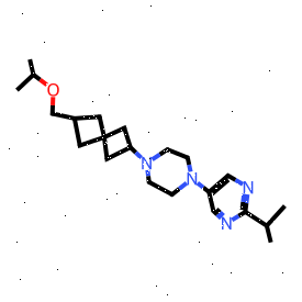 CC(C)OCC1CC2(C1)CC(N1CCN(c3cnc(C(C)C)nc3)CC1)C2